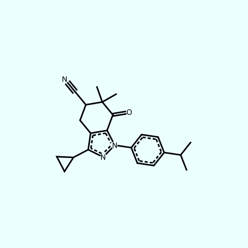 CC(C)c1ccc(-n2nc(C3CC3)c3c2C(=O)C(C)(C)C(C#N)C3)cc1